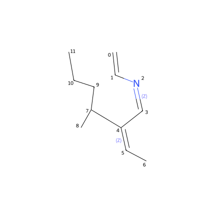 C=C/N=C\C(=C/C)C(C)CCC